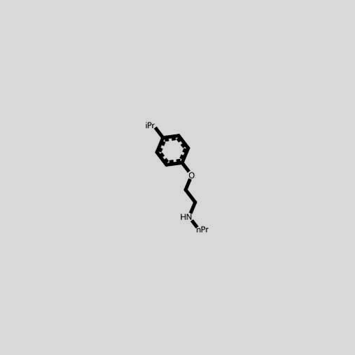 CCCNCCOc1ccc(C(C)C)cc1